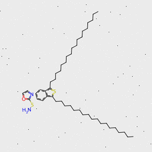 CCCCCCCCCCCCCCCCCCc1sc(CCCCCCCCCCCCCCCCCC)c2ccccc12.NSc1ncco1